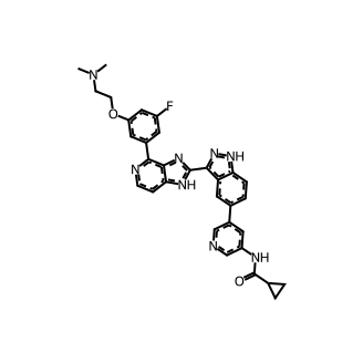 CN(C)CCOc1cc(F)cc(-c2nccc3[nH]c(-c4n[nH]c5ccc(-c6cncc(NC(=O)C7CC7)c6)cc45)nc23)c1